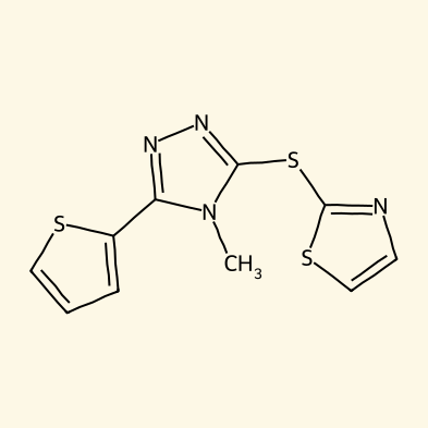 Cn1c(Sc2nccs2)nnc1-c1cccs1